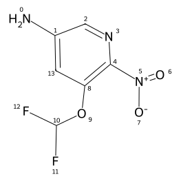 Nc1cnc([N+](=O)[O-])c(OC(F)F)c1